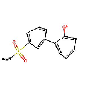 CNS(=O)(=O)c1cccc(-c2cc[c]cc2O)c1